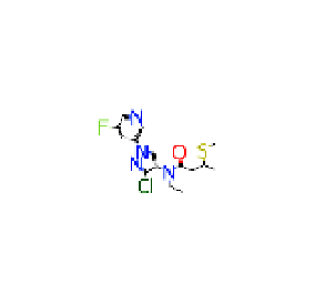 CCN(C(=O)CC(C)SC)c1cn(-c2cncc(F)c2)nc1Cl